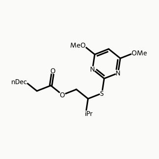 CCCCCCCCCCCC(=O)OCC(Sc1nc(OC)cc(OC)n1)C(C)C